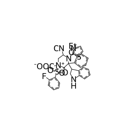 CCOc1ccccc1C1(C2CNc3ccccc32)C(=O)[N+](C(=O)[O-])(S(=O)(=O)c2ccccc2F)CC(C#N)N1c1nccs1